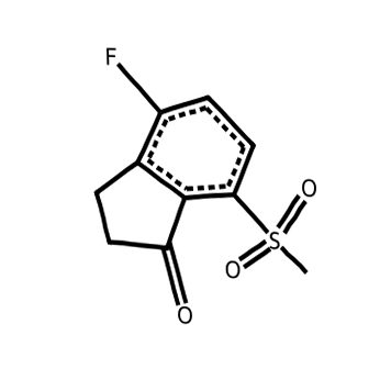 CS(=O)(=O)c1ccc(F)c2c1C(=O)CC2